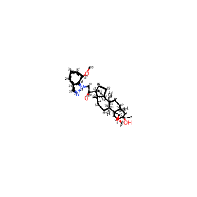 COC[C@]12CC[C@@](C)(O)C[C@@H]1CC[C@H]1[C@@H]3CC[C@H](C(=O)Cn4ncc5cccc(OC)c54)[C@@]3(C)CC[C@@H]12